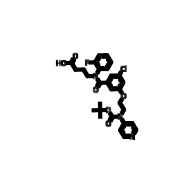 CC(C)(C)OC(=O)N(CCOc1cc(Cl)cc(C(=O)N(CCCC(=O)O)c2ccccc2F)c1)c1ccncc1